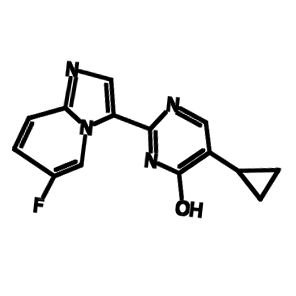 Oc1nc(-c2cnc3ccc(F)cn23)ncc1C1CC1